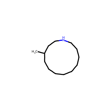 CC1CCCCCCCCCNCC1